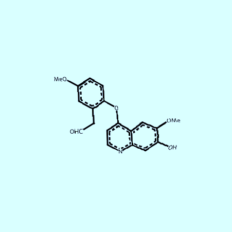 COc1ccc(Oc2ccnc3cc(O)c(OC)cc23)c(CC=O)c1